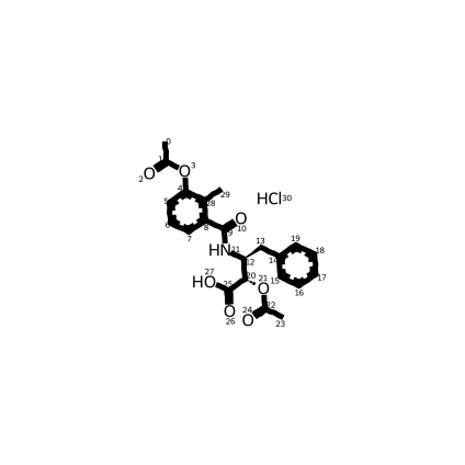 CC(=O)Oc1cccc(C(=O)N[C@@H](Cc2ccccc2)[C@H](OC(C)=O)C(=O)O)c1C.Cl